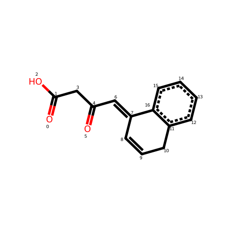 O=C(O)CC(=O)C=C1C=CCc2ccccc21